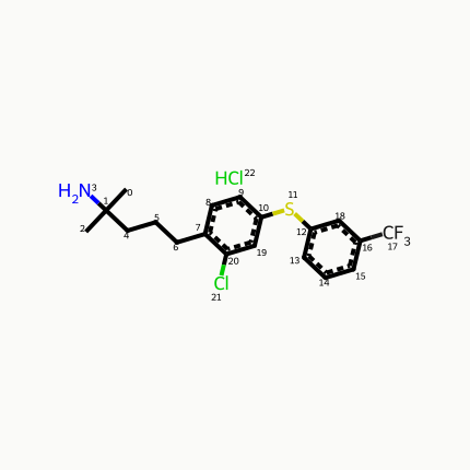 CC(C)(N)CCCc1ccc(Sc2cccc(C(F)(F)F)c2)cc1Cl.Cl